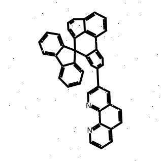 c1ccc2c(c1)-c1ccccc1C21c2cc(-c3cnc4c(ccc5cccnc54)c3)ccc2-c2cccc3cccc1c23